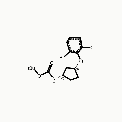 CC(C)(C)OC(=O)N[C@H]1CC[C@@H](Oc2c(Cl)cccc2Br)C1